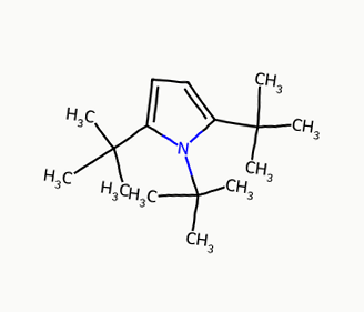 CC(C)(C)c1ccc(C(C)(C)C)n1C(C)(C)C